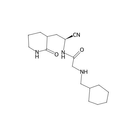 N#C[C@H](CC1CCCNC1=O)NC(=O)CNCC1CCCCC1